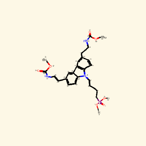 CCOP(=O)(CCCCn1c2ccc(CCNC(=O)OC(C)(C)C)cc2c2cc(CCNC(=O)OC(C)(C)C)ccc21)OCC